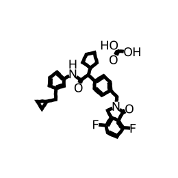 O=C(Nc1cccc(CC2CC2)c1)C(c1ccc(CN2Cc3c(F)ccc(F)c3C2=O)cc1)C1CCCC1.O=C(O)O